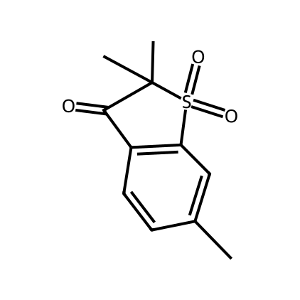 Cc1ccc2c(c1)S(=O)(=O)C(C)(C)C2=O